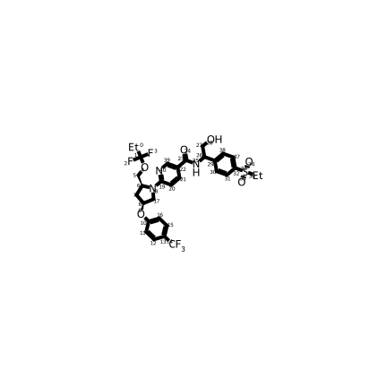 CCC(F)(F)OC[C@@H]1C[C@H](Oc2ccc(C(F)(F)F)cc2)CN1c1ccc(C(=O)NC(CO)c2ccc(S(=O)(=O)CC)cc2)cn1